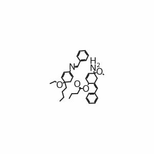 CCCC(=O)OC1C=CC(N)(OC)CC1=Cc1ccccc1.CCCCC1(OCC)C=CC(N=Cc2ccccc2)=CC1